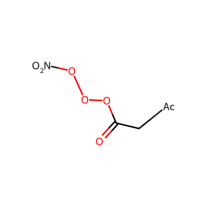 CC(=O)CC(=O)OOO[N+](=O)[O-]